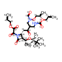 C=CCOC(=O)NCC(CN(C=O)OCC=C)C(=O)C[C@@H]1[C@@H]([C@@H](C)O[Si](C)(C)C(C)(C)C)C(=O)N1C(=O)C(=O)OCC=C